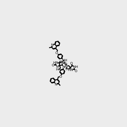 CCC1(C(N(c2ccc(OCc3cc(C)nc4ccccc34)cc2)S(=O)(=O)CC2(C)NC(=O)NC2=O)S(=O)(=O)Nc2ccc(OCc3cc(C)nc4ccccc34)cc2)NC(=O)NC1=O